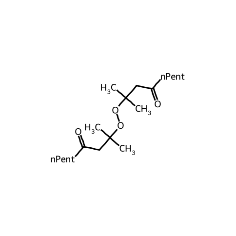 CCCCCC(=O)CC(C)(C)OOC(C)(C)CC(=O)CCCCC